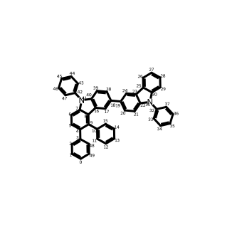 c1ccc(-c2ccc3c(c2-c2ccccc2)c2cc(-c4ccc5c(c4)c4ccccc4n5-c4ccccc4)ccc2n3-c2ccccc2)cc1